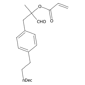 C=CC(=O)OC(C)(C=O)Cc1ccc(CCCCCCCCCCCC)cc1